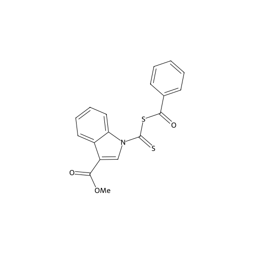 COC(=O)c1cn(C(=S)SC(=O)c2ccccc2)c2ccccc12